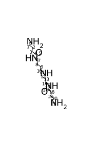 NCCCC(=O)NCCCCNCCCNC(=O)CCCN